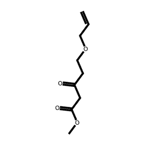 C=CCOCCC(=O)CC(=O)OC